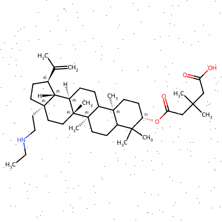 C=C(C)[C@@H]1CC[C@]2(CCNCC)CC[C@]3(C)[C@H](CCC4[C@@]5(C)CC[C@H](OC(=O)CC(C)(C)CC(=O)O)C(C)(C)C5CC[C@]43C)[C@@H]12